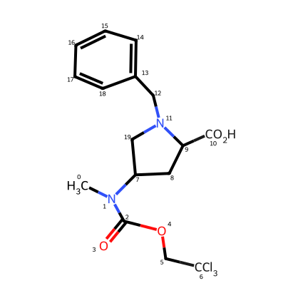 CN(C(=O)OCC(Cl)(Cl)Cl)C1CC(C(=O)O)N(Cc2ccccc2)C1